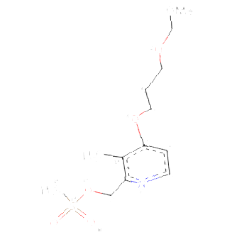 COCOCCCOc1ccnc(COS(C)(=O)=O)c1C